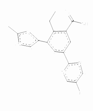 CCc1c(C(N)=O)cc(-c2ncc(F)cn2)cc1-c1cnc(C)s1